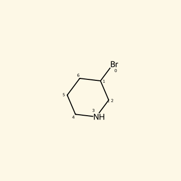 BrC1[CH]NCCC1